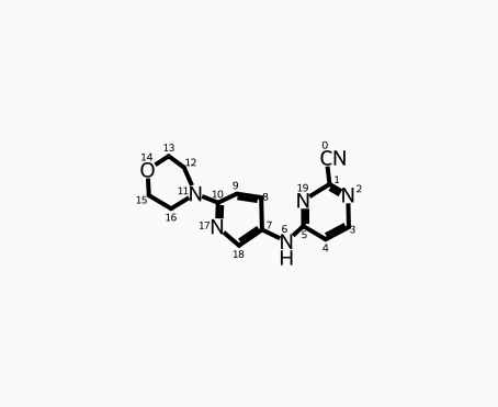 N#Cc1nccc(Nc2ccc(N3CCOCC3)nc2)n1